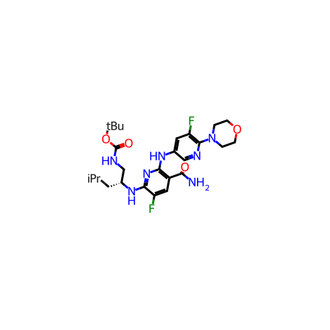 CC(C)C[C@H](CNC(=O)OC(C)(C)C)Nc1nc(Nc2cnc(N3CCOCC3)c(F)c2)c(C(N)=O)cc1F